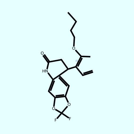 C=C/C(=C(\C)OCCCC)C1CC(=O)Nc2cc3c(cc21)OC(F)(F)O3